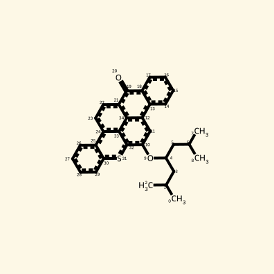 CC(C)CC(CC(C)C)Oc1cc2c3ccccc3c(=O)c3ccc4c5ccccc5sc1c4c32